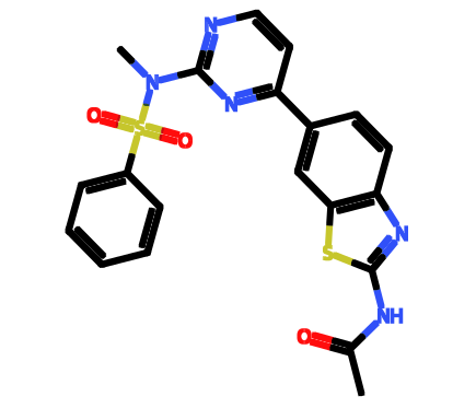 CC(=O)Nc1nc2ccc(-c3ccnc(N(C)S(=O)(=O)c4ccccc4)n3)cc2s1